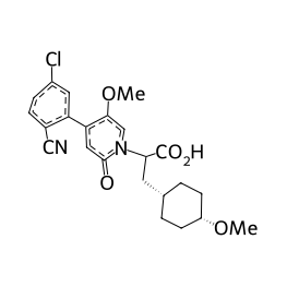 COc1cn(C(C[C@H]2CC[C@@H](OC)CC2)C(=O)O)c(=O)cc1-c1cc(Cl)ccc1C#N